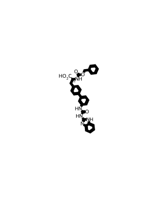 O=C(Nc1cccc(-c2ccc(C[C@H](NC(=O)OCc3ccccc3)C(=O)O)cc2)c1)Nc1nc2ccccc2[nH]1